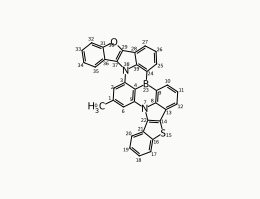 Cc1cc2c3c(c1)-n1c4c(cccc4c4sc5ccccc5c41)B3c1cccc3c4oc5ccccc5c4n-2c13